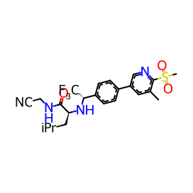 Cc1cc(-c2ccc([C@H](N[C@@H](CC(C)C)C(=O)NCC#N)C(F)(F)F)cc2)cnc1S(C)(=O)=O